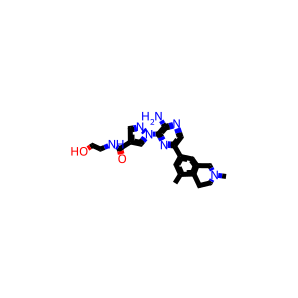 Cc1cc(-c2cnc(N)c(-n3cc(C(=O)NCCO)cn3)n2)cc2c1CCN(C)C2